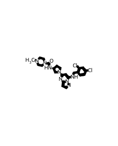 CN1CCN(C(=O)N[C@@H]2CCN(c3cc(NCc4ccc(Cl)cc4Cl)n4nccc4n3)C2)CC1